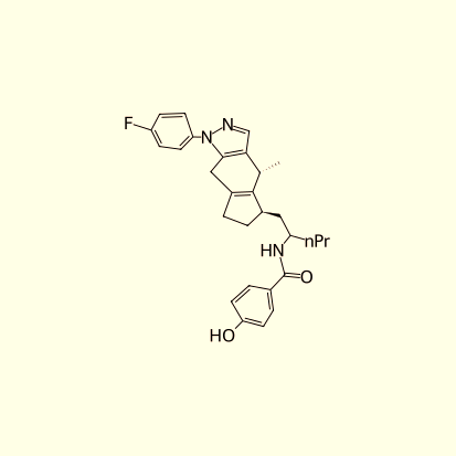 CCCC(C[C@H]1CCC2=C1[C@@H](C)c1cnn(-c3ccc(F)cc3)c1C2)NC(=O)c1ccc(O)cc1